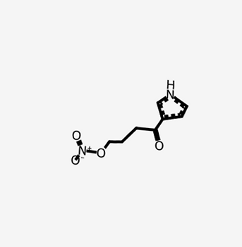 O=C(CCCO[N+](=O)[O-])c1cc[nH]c1